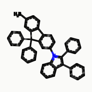 Bc1ccc2c(c1)C(c1ccccc1)(c1ccccc1)c1cc(-n3c(-c4ccccc4)c(-c4ccccc4)c4ccccc43)ccc1-2